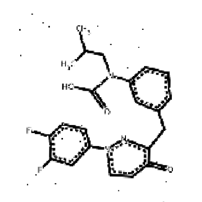 CC(C)CN(C(=O)O)c1cccc(Cc2nn(-c3ccc(F)c(F)c3)ccc2=O)c1